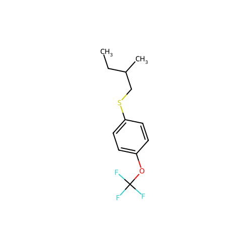 CCC(C)CSc1ccc(OC(F)(F)F)cc1